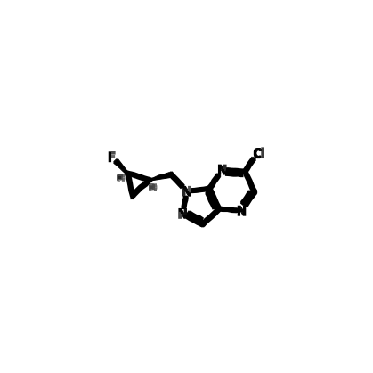 F[C@@H]1C[C@@H]1Cn1ncc2ncc(Cl)nc21